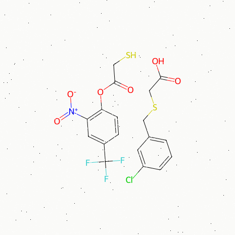 O=C(CS)Oc1ccc(C(F)(F)F)cc1[N+](=O)[O-].O=C(O)CSCc1cccc(Cl)c1